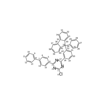 Clc1nc(-c2ccc(-c3ccccc3)cc2)nc(-c2cccc(C3(c4ccccc4)c4ccccc4-c4ccccc43)c2)n1